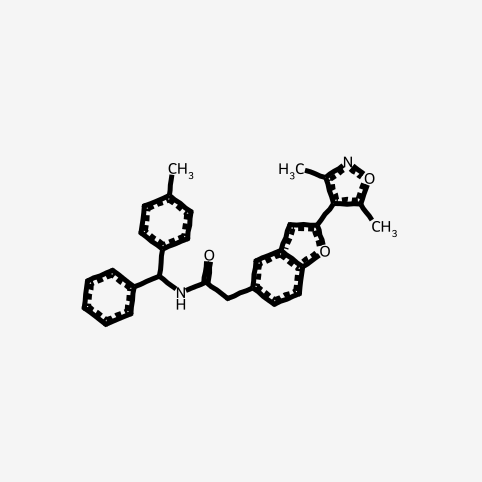 Cc1ccc(C(NC(=O)Cc2ccc3oc(-c4c(C)noc4C)cc3c2)c2ccccc2)cc1